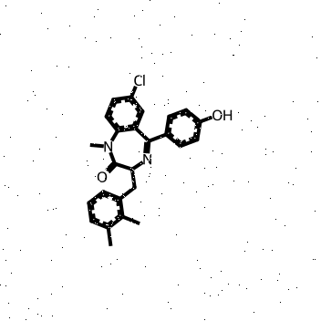 Cc1cccc(CC2N=C(c3ccc(O)cc3)c3cc(Cl)ccc3N(C)C2=O)c1C